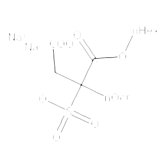 CCCCCCCCC(CC(=O)[O-])(C(=O)OCCCCCC)S(=O)(=O)[O-].[Na+].[Na+]